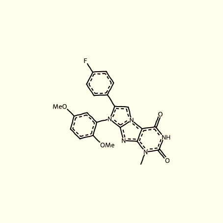 COc1ccc(OC)c(-n2c(-c3ccc(F)cc3)cn3c4c(=O)[nH]c(=O)n(C)c4nc23)c1